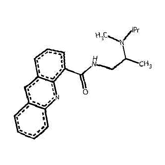 CC(C)N(C)C(C)CNC(=O)c1cccc2cc3ccccc3nc12